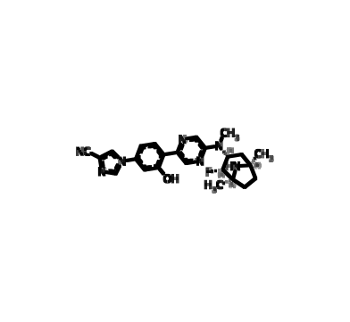 CN(c1cnc(-c2ccc(-n3cnc(C#N)c3)cc2O)cn1)[C@@H]1C[C@@]2(C)CC[C@](C)(N2)[C@@H]1F